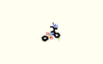 Cc1c(-c2cn(S(=O)(=O)c3ccccc3)c3cc(F)ccc23)cnn1C